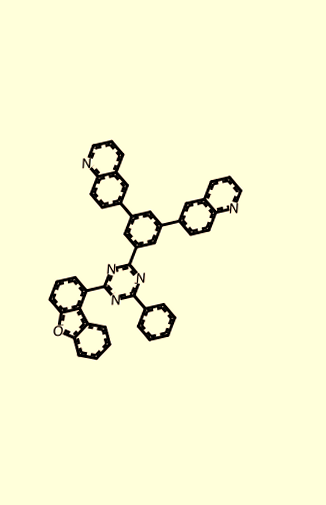 c1ccc(-c2nc(-c3cc(-c4ccc5ncccc5c4)cc(-c4ccc5ncccc5c4)c3)nc(-c3cccc4oc5ccccc5c34)n2)cc1